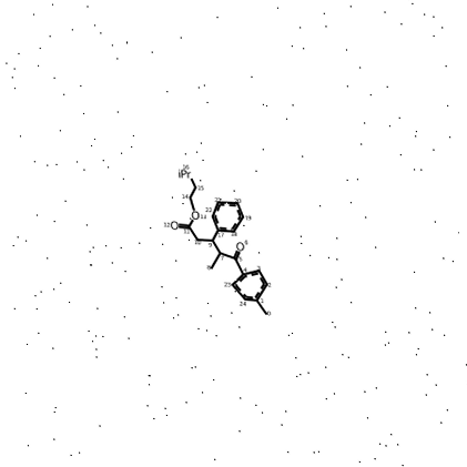 Cc1ccc(C(=O)C(C)C(CC(=O)OCCC(C)C)c2ccccc2)cc1